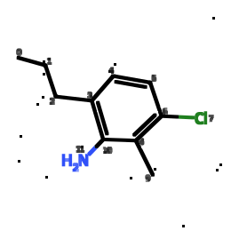 CCCc1ccc(Cl)c(C)c1N